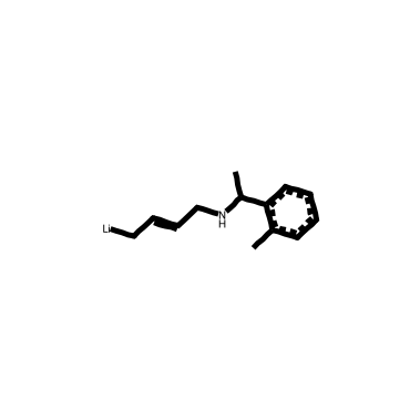 [Li][CH2]C=CCNC(C)c1ccccc1C